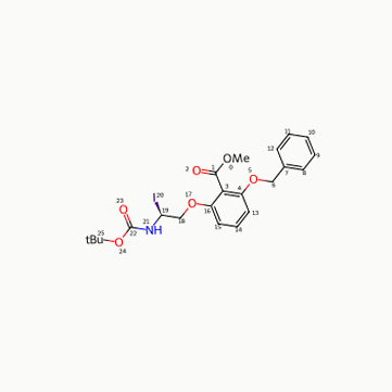 COC(=O)c1c(OCc2ccccc2)cccc1OC[C@H](I)NC(=O)OC(C)(C)C